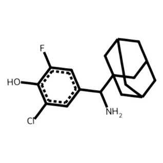 NC(c1cc(F)c(O)c(Cl)c1)C12CC3CC(CC(C3)C1)C2